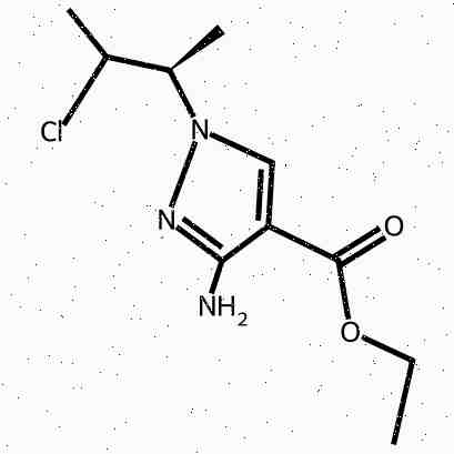 CCOC(=O)c1cn([C@H](C)C(C)Cl)nc1N